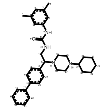 Cc1cc(C)cc(NC(=O)NCC(c2ccc(-c3ccccc3)cc2)N2CCN(C3CCCCC3)CC2)c1